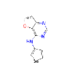 c1nc(Nc2cc[se]c2)c2occc2n1